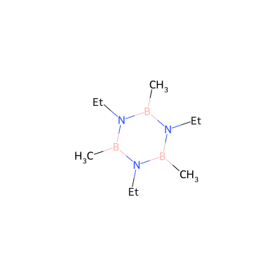 CCN1B(C)N(CC)B(C)N(CC)B1C